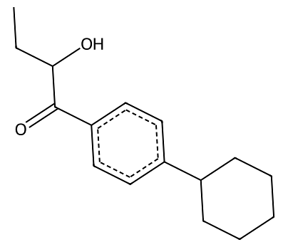 CCC(O)C(=O)c1ccc(C2CCCCC2)cc1